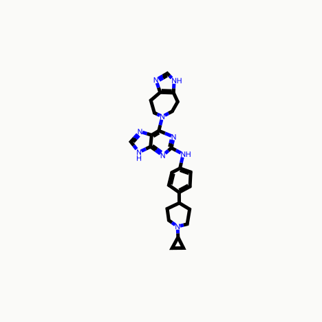 c1nc2c([nH]1)CCN(c1nc(Nc3ccc(C4CCN(C5CC5)CC4)cc3)nc3[nH]cnc13)CC2